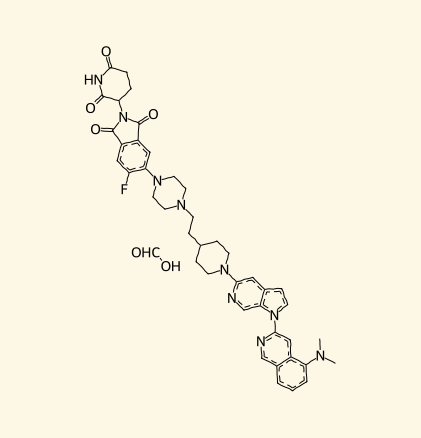 CN(C)c1cccc2cnc(-n3ccc4cc(N5CCC(CCN6CCN(c7cc8c(cc7F)C(=O)N(C7CCC(=O)NC7=O)C8=O)CC6)CC5)ncc43)cc12.O=CO